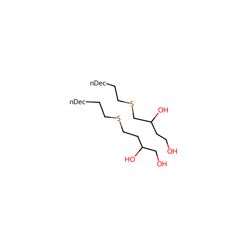 CCCCCCCCCCCCSCC(O)CCO.CCCCCCCCCCCCSCCC(O)CO